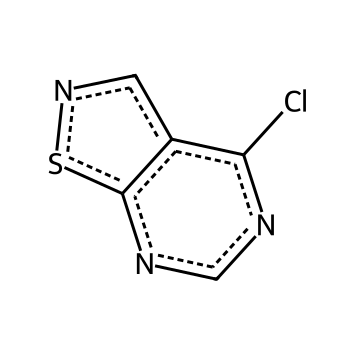 Clc1ncnc2sncc12